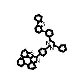 c1ccc(-c2cc(-c3cccc(-c4cccc5c4sc4ccccc45)c3)nc(-c3ccc(-c4nc5cccc(-c6ccccc6)c5c5c4sc4ccccc45)cc3)n2)cc1